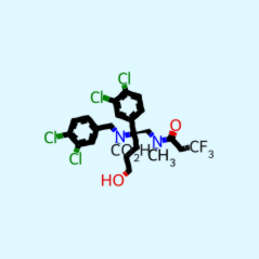 CN(C[C@](CCCO)(c1ccc(Cl)c(Cl)c1)N(Cc1ccc(Cl)c(Cl)c1)C(=O)O)C(=O)CC(F)(F)F